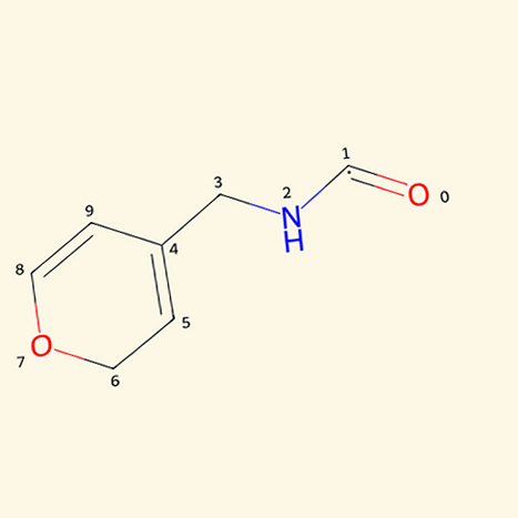 O=[C]NCC1=CCOC=C1